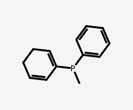 CP(C1=CCCC=C1)c1ccccc1